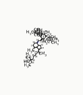 C=C1[C@H](O[Si](C)(C)C(C)(C)C)CC(=C/C=C2/CCC(C)C3C2CCC3C(C)OCCCC(O)(CC)CC)C[C@H]1O[Si](C)(C)C(C)(C)C